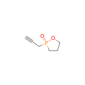 C#CCP1(=O)CCCO1